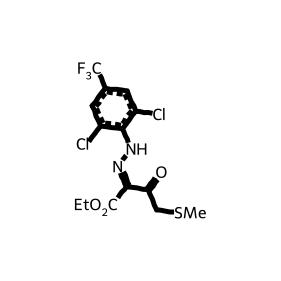 CCOC(=O)C(=NNc1c(Cl)cc(C(F)(F)F)cc1Cl)C(=O)CSC